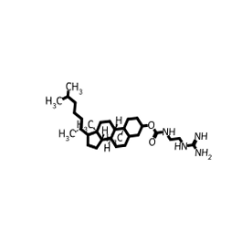 CC(C)CCC[C@@H](C)C1CC[C@H]2[C@@H]3CCC4CC(OC(=O)NCCNC(=N)N)CC[C@]4(C)[C@H]3CC[C@]12C